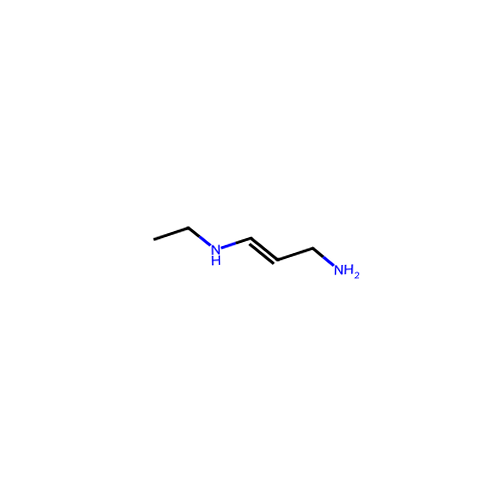 CCN/C=C/CN